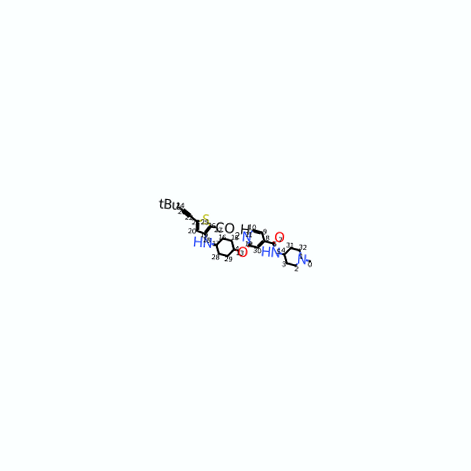 CN1CCC(NC(=O)c2ccnc(OC3CCC(Nc4cc(C#CC(C)(C)C)sc4C(=O)O)CC3)c2)CC1